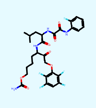 CC(C)CC(NC(=O)C(=O)Nc1ccccc1F)C(=O)NC(CCCCOC(N)=O)C(=O)COc1c(F)c(F)cc(F)c1F